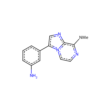 CNc1nccn2c(-c3cccc(N)c3)cnc12